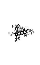 CCCN(c1cc(N)c(O)c2c1CC1CC3[C@H](N(C)C)C(O)=C(C(N)=O)C(=O)[C@@]3(O)C(O)=C1C2=O)C(C)C.O=S(=O)(O)O